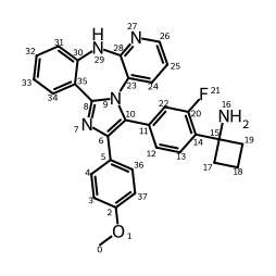 COc1ccc(-c2nc3n(c2-c2ccc(C4(N)CCC4)c(F)c2)-c2cccnc2Nc2ccccc2-3)cc1